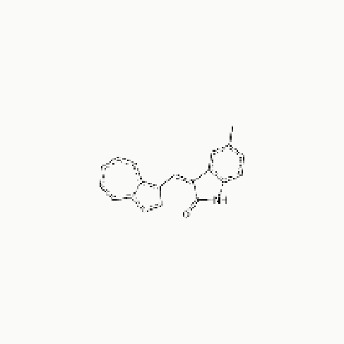 Cc1ccc2c(c1)C(=Cc1ccc3cccccc1-3)C(=O)N2